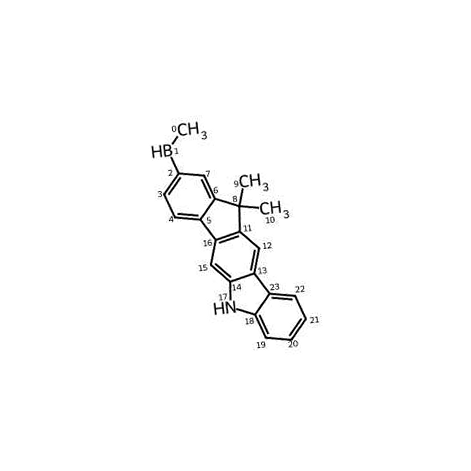 CBc1ccc2c(c1)C(C)(C)c1cc3c(cc1-2)[nH]c1ccccc13